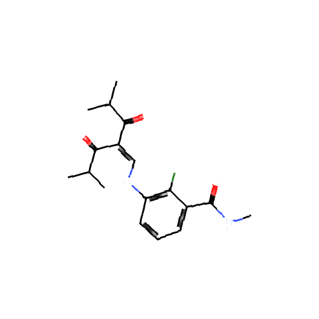 CNC(=O)c1cccc(NC=C(C(=O)C(C)C)C(=O)C(C)C)c1Cl